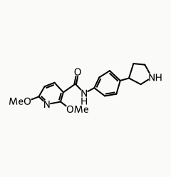 COc1ccc(C(=O)Nc2ccc(C3CCNC3)cc2)c(OC)n1